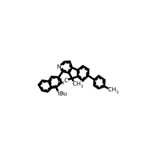 Cc1ccc(-c2ccc3c(c2)C(C)(C)c2c-3ccnc2-c2cc(C(C)(C)C)c3ccccc3c2)cc1